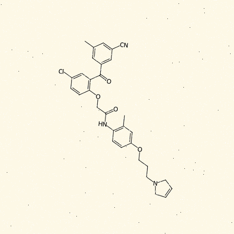 Cc1cc(C#N)cc(C(=O)c2cc(Cl)ccc2OCC(=O)Nc2ccc(OCCCN3CC=CC3)cc2C)c1